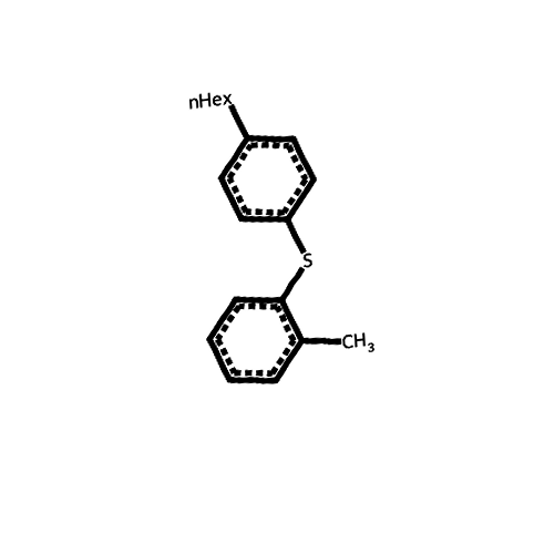 CCCCCCc1ccc(Sc2ccccc2C)cc1